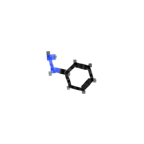 [NH]N=C1C=CC=CC1